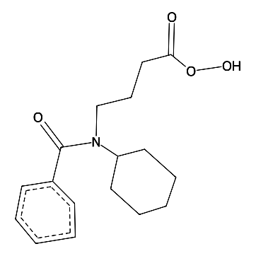 O=C(CCCN(C(=O)c1ccccc1)C1CCCCC1)OO